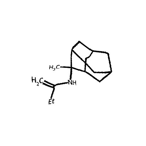 C=C(CC)NC1(C)C2CC3CC(C2)CC1C3